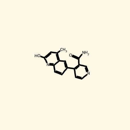 Cc1cc(O)nc2ccc(-c3ccncc3C(N)=O)cc12